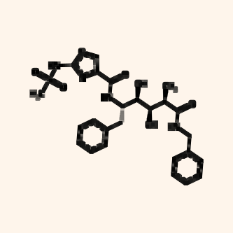 C[C@@H](C(=O)NCc1ccccc1)[C@@H](O)[C@H](O)[C@H](Cc1ccccc1)NC(=O)c1coc(NS(C)(=O)=O)n1